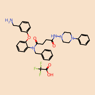 NCc1cccc(Oc2ccccc2N(Cc2ccccc2)C(=O)CCC(=O)NN2CCN(c3ccccc3)CC2)c1.O=C(O)C(F)(F)F